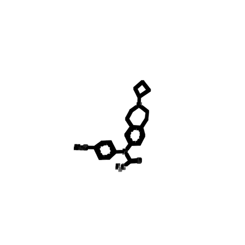 COc1ccc(N(C(=O)C(F)(F)F)c2ccc3c(c2)CCN(C2CCC2)CC3)cc1